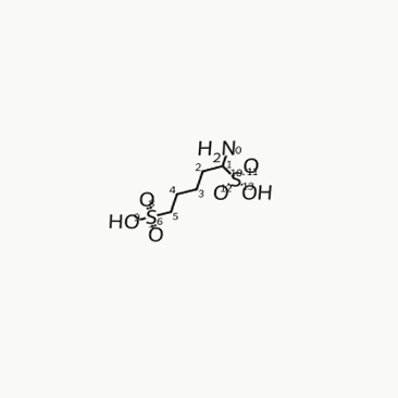 NC(CCCCS(=O)(=O)O)S(=O)(=O)O